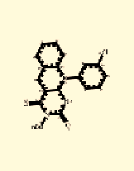 CCCCn1c(=O)nc2n(-c3cccc(Cl)c3)c3ccccc3cc-2c1=O